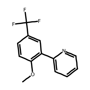 COc1ccc(C(F)(F)F)cc1-c1ccccn1